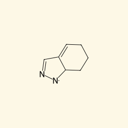 C1=N[N]C2CCCC=C12